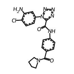 Nc1cc(-n2nnnc2C(=O)Nc2ccc(C(=O)N3CCCC3)cc2)ccc1Cl